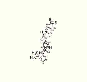 CC(C)c1ccccc1NC(=O)N1C[C@H]2C[C@@H]1CN2C(=O)C[C@H](N)Cc1cc(F)c(F)cc1F